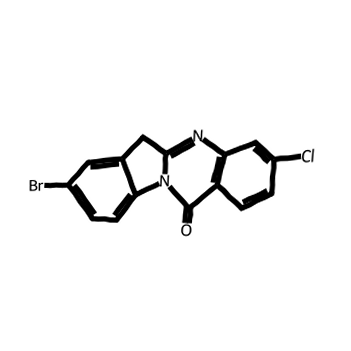 O=c1c2ccc(Cl)cc2nc2n1-c1ccc(Br)cc1C2